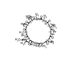 C/C=C/C[C@@H](C)[C@@H](O)[C@H]1C(=O)N[C@@H](CC)C(=O)N(C)CC(=O)N(C)[C@@H](CC(C)C)C(=O)N[C@@H](C(C)C)C(=O)N(C)[C@@H](CC(C)C)C(=O)N[C@@H](C)C(=O)N[C@H](C)C(=O)N(C)[C@@H](CC(C)C)C(=O)N(C)[C@@H](CC(C)C)C(=O)N(C)[C@@H](C(C)C)C(=O)N1C.Cl